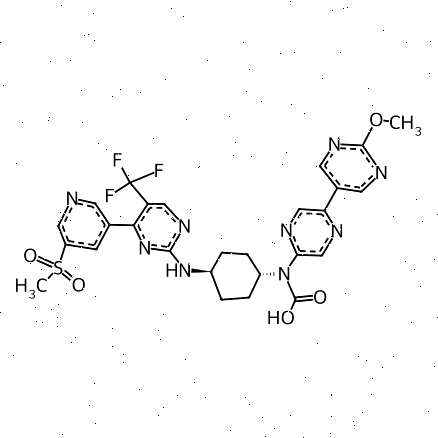 COc1ncc(-c2cnc(N(C(=O)O)[C@H]3CC[C@H](Nc4ncc(C(F)(F)F)c(-c5cncc(S(C)(=O)=O)c5)n4)CC3)cn2)cn1